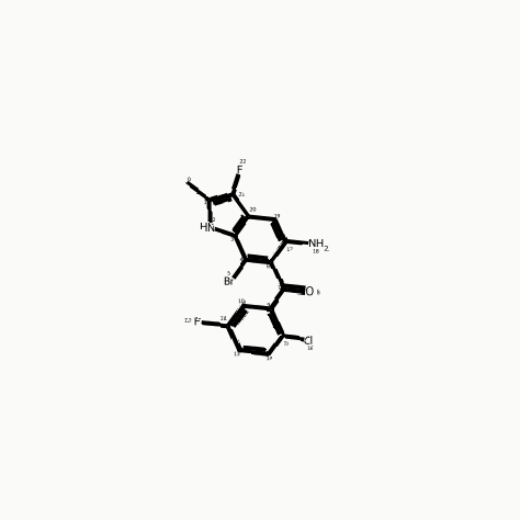 Cc1[nH]c2c(Br)c(C(=O)c3cc(F)ccc3Cl)c(N)cc2c1F